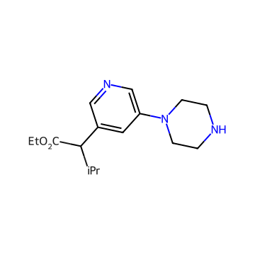 CCOC(=O)C(c1cncc(N2CCNCC2)c1)C(C)C